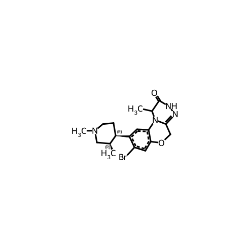 CC1C(=O)NN=C2COc3cc(Br)c([C@@H]4CCN(C)C[C@@H]4C)cc3N21